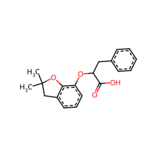 CC1(C)Cc2cccc(OC(Cc3ccccc3)C(=O)O)c2O1